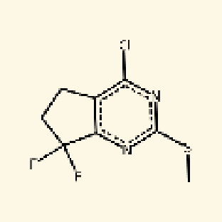 CSc1nc(Cl)c2c(n1)C(F)(F)CC2